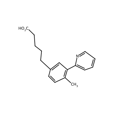 Cc1ccc(CCCCC(=O)O)cc1-c1ccccn1